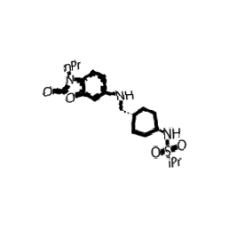 CCCn1c(=O)oc2cc(NC[C@H]3CC[C@H](NS(=O)(=O)C(C)C)CC3)ccc21